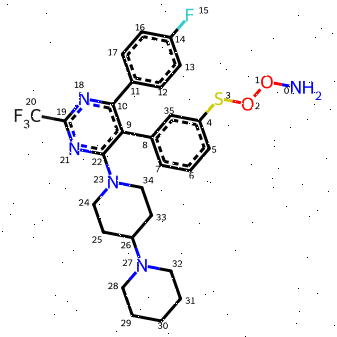 NOOSc1cccc(-c2c(-c3ccc(F)cc3)nc(C(F)(F)F)nc2N2CCC(N3CCCCC3)CC2)c1